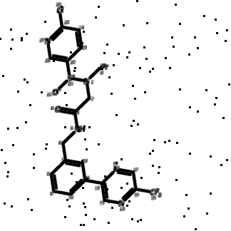 CC(C)N(CC(=O)NCc1cccc(-c2cnc(C(F)(F)F)cn2)c1)[S+]([O-])c1ccc(Cl)nc1